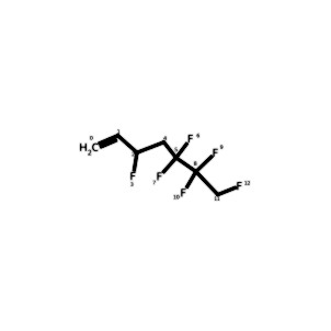 C=CC(F)CC(F)(F)C(F)(F)CF